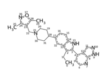 CCc1c(-c2ccnc3[nH]ncc23)[nH]c2ccc(C3CCN(Cc4c(C)noc4C)CC3)cc12